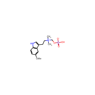 COc1ccc2[nH]cc(CC[N+](C)(C)COP(=O)([O-])O)c2c1